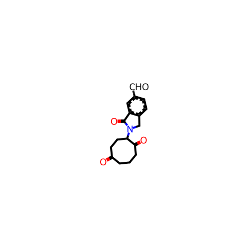 O=Cc1ccc2c(c1)C(=O)N(C1CCC(=O)CCCC1=O)C2